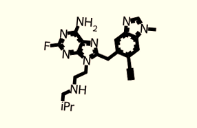 C#Cc1cc2c(cc1Cc1nc3c(N)nc(F)nc3n1CCNCC(C)C)ncn2C